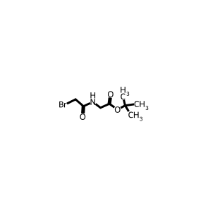 CC(C)(C)OC(=O)CNC(=O)CBr